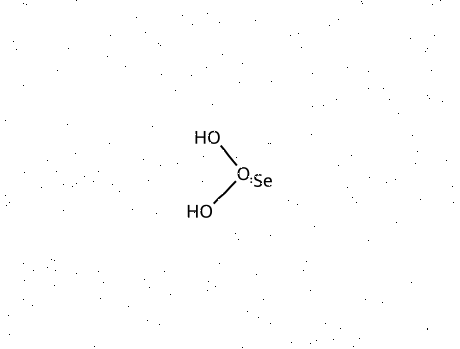 OOO.[Se]